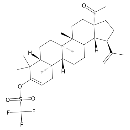 C=C(C)[C@@H]1CC[C@]2(C(C)=O)CC[C@]3(C)C(CC[C@@H]4[C@@]5(C)CC=C(OS(=O)(=O)C(F)(F)F)C(C)(C)[C@@H]5CC[C@]43C)[C@@H]12